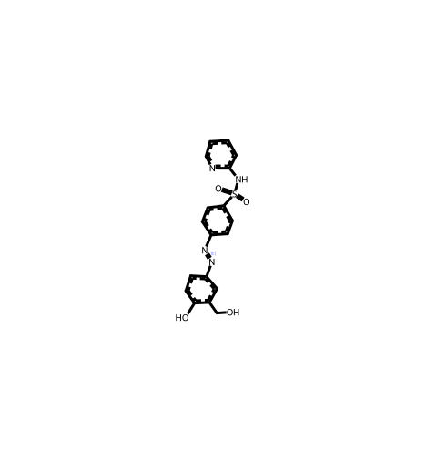 O=S(=O)(Nc1ccccn1)c1ccc(/N=N/c2ccc(O)c(CO)c2)cc1